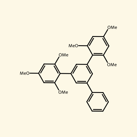 COc1cc(OC)c(-c2cc(-c3ccccc3)cc(-c3c(OC)cc(OC)cc3OC)c2)c(OC)c1